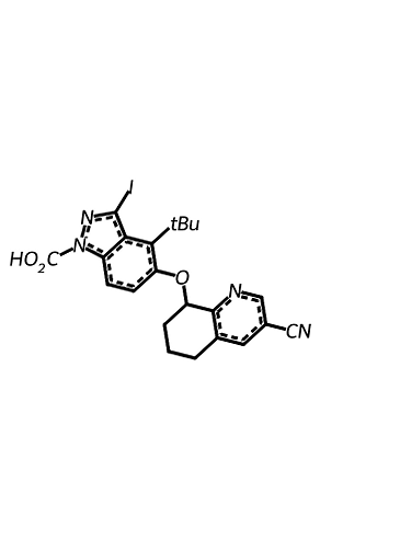 CC(C)(C)c1c(OC2CCCc3cc(C#N)cnc32)ccc2c1c(I)nn2C(=O)O